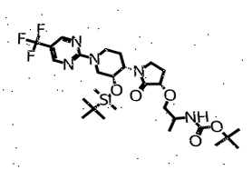 CC(CO[C@@H]1CCN([C@H]2CCN(c3ncc(C(F)(F)F)cn3)C[C@@H]2O[Si](C)(C)C(C)(C)C)C1=O)NC(=O)OC(C)(C)C